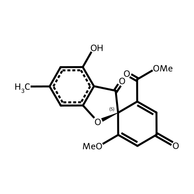 COC(=O)C1=CC(=O)C=C(OC)[C@@]12Oc1cc(C)cc(O)c1C2=O